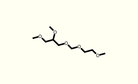 COCCOCOCC(COC)OC